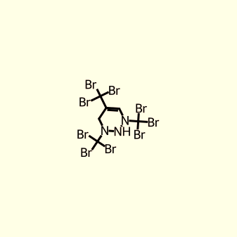 BrC(Br)(Br)C1=CN(C(Br)(Br)Br)NN(C(Br)(Br)Br)C1